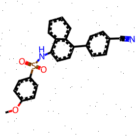 COc1ccc(S(=O)(=O)Nc2ccc(-c3ccc(C#N)cc3)c3ccccc23)cc1